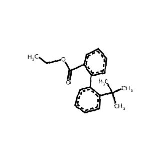 CCOC(=O)c1ccccc1-c1ccccc1C(C)(C)C